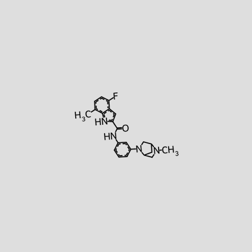 Cc1ccc(F)c2cc(C(=O)Nc3cccc(N4CC5CC4CN5C)c3)[nH]c12